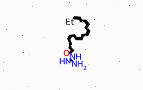 CC/C=C\C/C=C\C/C=C\C/C=C\C/C=C\CCCC(=O)NC(=N)N